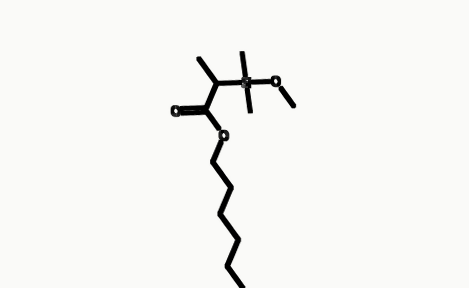 CCCCCCOC(=O)C(C)[Si](C)(C)OC